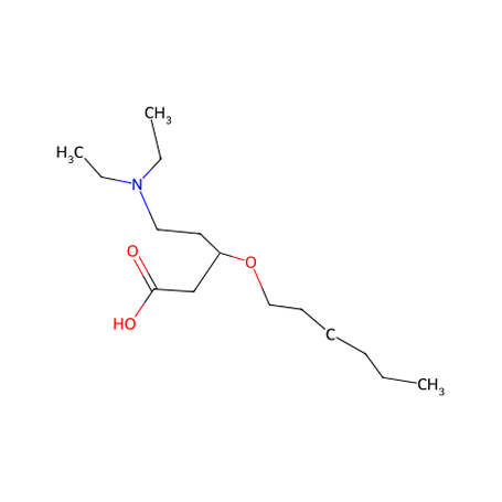 CCCCCCOC(CCN(CC)CC)CC(=O)O